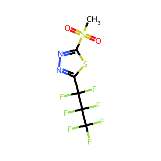 CS(=O)(=O)c1nnc(C(F)(F)C(F)(F)C(F)(F)F)s1